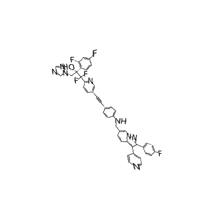 OC(Cn1cncn1)(c1ccc(F)cc1F)C(F)(F)c1ccc(C#Cc2ccc(NCc3ccc4c(-c5ccncc5)c(-c5ccc(F)cc5)nn4c3)cc2)cn1